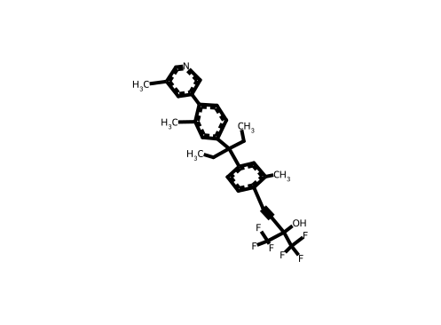 CCC(CC)(c1ccc(C#CC(O)(C(F)(F)F)C(F)(F)F)c(C)c1)c1ccc(-c2cncc(C)c2)c(C)c1